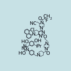 C=C(F)C(=O)N1CCN(c2nc(OCCN3CCN(C(=O)C4CCN(Cc5ccc(-n6c(O)nnc6-c6cc(C(C)C)c(O)cc6O)cc5)CC4)CC3)nc3c2CCN(c2cccc4cccc(Cl)c24)C3)CC1CC#N